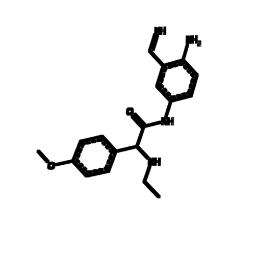 CCNC(C(=O)Nc1ccc(N)c(C=N)c1)c1ccc(OC)cc1